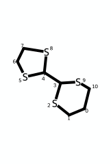 C1CSC([C]2SCCS2)SC1